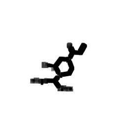 C=CC(=O)N1CCN(C(CCCCCC)CCCCCCC)[C@@H](CC)C1